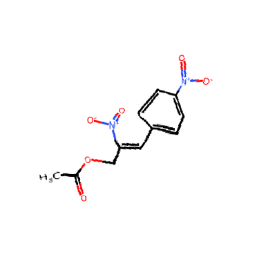 CC(=O)OCC(=Cc1ccc([N+](=O)[O-])cc1)[N+](=O)[O-]